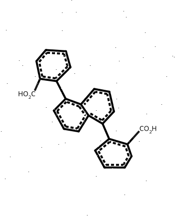 O=C(O)c1ccccc1-c1cccc2c(-c3ccccc3C(=O)O)cccc12